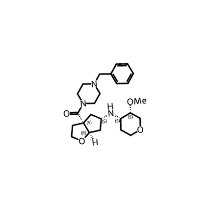 CO[C@@H]1COCC[C@@H]1N[C@@H]1C[C@H]2OCC[C@@]2(C(=O)N2CCN(Cc3ccccc3)CC2)C1